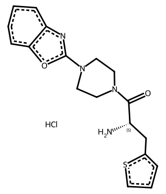 Cl.N[C@@H](Cc1cccs1)C(=O)N1CCN(c2nc3ccccc3o2)CC1